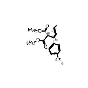 C/C=C/[C@H](c1ccc(C(F)(F)F)cc1)[C@@H](C(=O)OC)C(=O)OC(C)(C)C